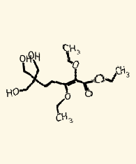 CCOC(=O)C(OCC)=C(CCC(CO)(CO)CO)OCC